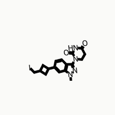 Cn1nc(N2CCC(=O)NC2=O)c2ccc(C3CC(CI)C3)cc21